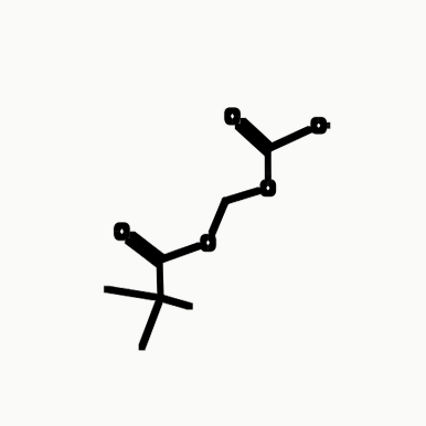 CC(C)(C)C(=O)OCOC([O])=O